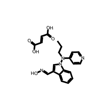 CCCN(c1ccncc1)n1cc(C=NO)c2ccccc21.O=C(O)C=CC(=O)O